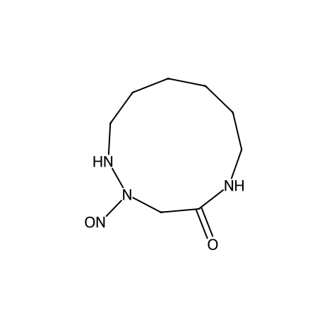 O=NN1CC(=O)NCCCCCCN1